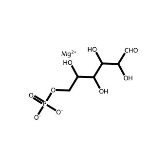 O=CC(O)C(O)C(O)C(O)COP(=O)([O-])[O-].[Mg+2]